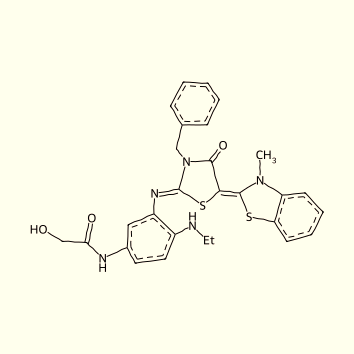 CCNc1ccc(NC(=O)CO)cc1/N=C1\S/C(=C2\Sc3ccccc3N2C)C(=O)N1Cc1ccccc1